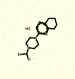 CCC(CC)N1CCN(c2ccc3c(n2)CCCC3)CC1.Cl